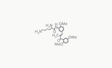 COc1ccc(OC)c(C(=O)C(C)=Cc2ccc(OC)c(NC(=O)C(N)CCCCN)c2)c1